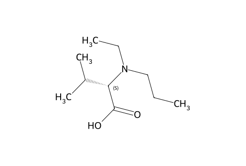 CCCN(CC)[C@H](C(=O)O)C(C)C